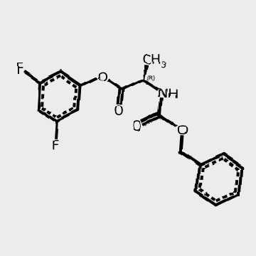 C[C@@H](NC(=O)OCc1ccccc1)C(=O)Oc1cc(F)cc(F)c1